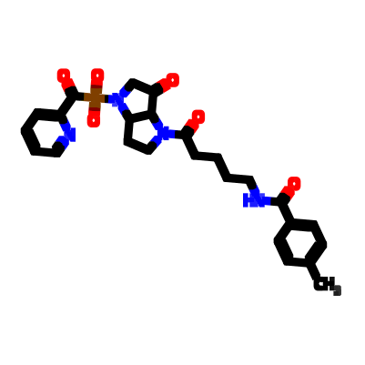 Cc1ccc(C(=O)NCCCCC(=O)N2CCC3C2C(=O)CN3S(=O)(=O)C(=O)c2ccccn2)cc1